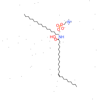 CCCCCCCC/C=C\CCCCCCCCCCCCCC(=O)N[C@@H](COP(=O)([O-])OCC[N+](C)(C)C)[C@H](O)CCCCCCCCCCCCCCC